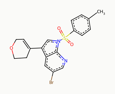 Cc1ccc(S(=O)(=O)n2cc(C3=CCOCC3)c3cc(Br)cnc32)cc1